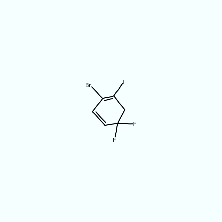 FC1(F)C=CC(Br)=C(I)C1